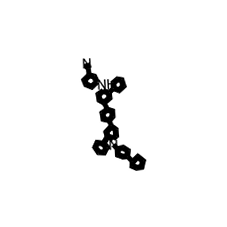 N#Cc1cccc(Nc2ccc(-c3ccc(-c4ccc5c(c4)c4ccccc4n5-c4ccc(-c5ccccc5)cc4)cc3)cc2-c2ccccc2)c1